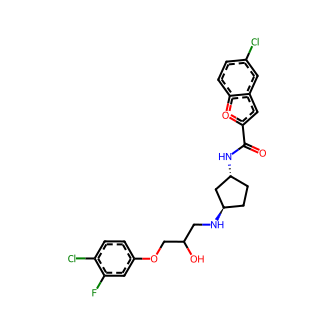 O=C(N[C@@H]1CC[C@@H](NCC(O)COc2ccc(Cl)c(F)c2)C1)c1cc2cc(Cl)ccc2o1